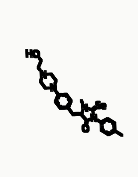 Cc1ccc(N2C(=O)C(=Cc3ccc(N4CCN(CCO)CC4)cc3)N(C)C2=[Se])cc1